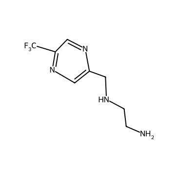 NCCNCc1cnc(C(F)(F)F)cn1